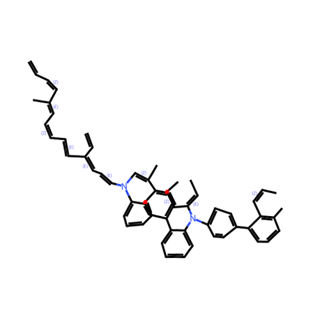 C=C\C=C/C(C)=C/C=C\C=C\C(C=C)=C\C=C\N(/C=C(/C)c1ccc(-c2ccccc2N(C(/C=C\C)=C/C)c2ccc(-c3cccc(C)c3/C=C\C)cc2)cc1)c1ccccc1